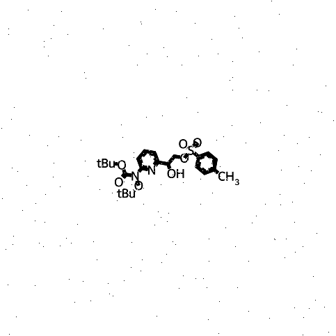 Cc1ccc(S(=O)(=O)OCC(O)c2cccc(N(OC(C)(C)C)C(=O)OC(C)(C)C)n2)cc1